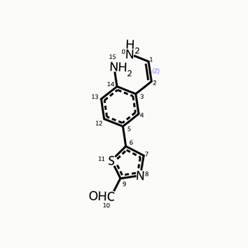 N/C=C\c1cc(-c2cnc(C=O)s2)ccc1N